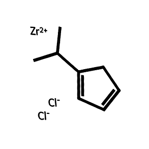 CC(C)C1=CC=CC1.[Cl-].[Cl-].[Zr+2]